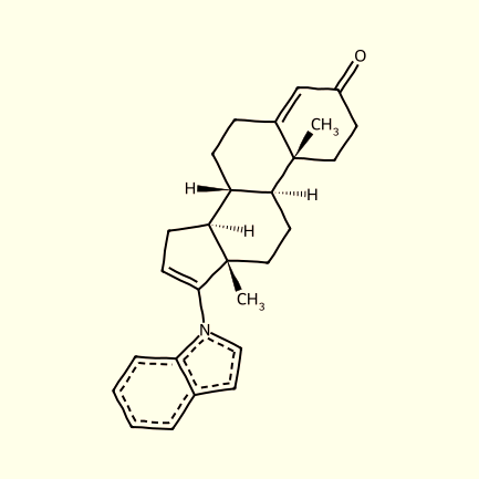 C[C@]12CCC(=O)C=C1CC[C@@H]1[C@@H]2CC[C@]2(C)C(n3ccc4ccccc43)=CC[C@@H]12